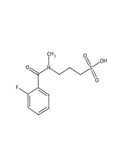 CN(CCCS(=O)(=O)O)C(=O)c1ccccc1F